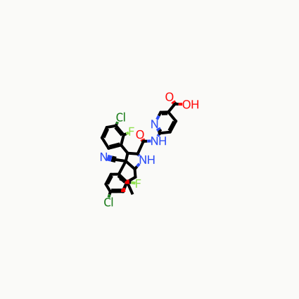 CC(C)(C)CC1NC(C(=O)Nc2ccc(C(=O)O)cn2)C(c2cccc(Cl)c2F)C1(C#N)c1ccc(Cl)cc1F